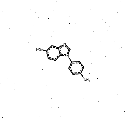 Nc1ccc(-n2cnc3cc(O)ccc32)cc1